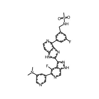 CN(C)c1cncc(-c2ncc3[nH]nc(-c4nc5c(-c6cc(F)cc(CNS(C)(=O)=O)c6)nccc5[nH]4)c3c2F)c1